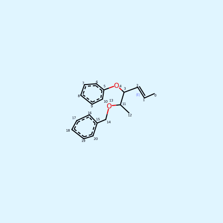 C/C=C/C(Oc1ccccc1)C(C)OCc1ccccc1